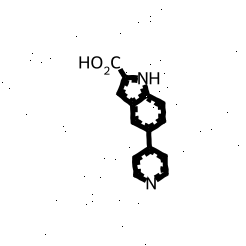 O=C(O)c1cc2cc(-c3ccncc3)ccc2[nH]1